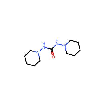 O=C(NN1CCCCC1)NN1CCCCC1